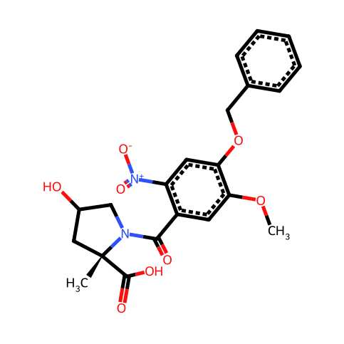 COc1cc(C(=O)N2CC(O)C[C@@]2(C)C(=O)O)c([N+](=O)[O-])cc1OCc1ccccc1